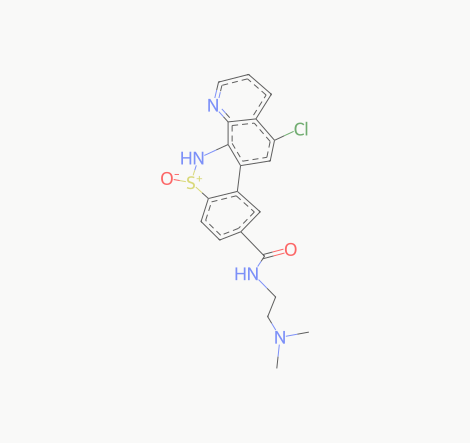 CN(C)CCNC(=O)c1ccc2c(c1)-c1cc(Cl)c3cccnc3c1N[S+]2[O-]